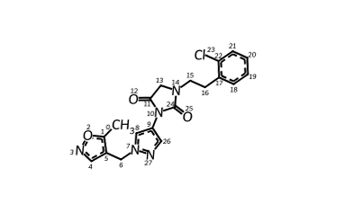 Cc1oncc1Cn1cc(N2C(=O)CN(CCc3ccccc3Cl)C2=O)cn1